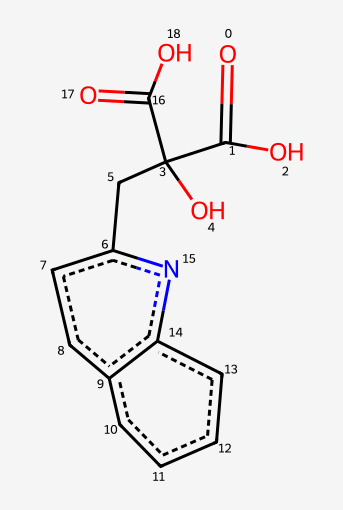 O=C(O)C(O)(Cc1ccc2ccccc2n1)C(=O)O